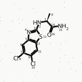 C[C@H](Nc1nc2cc(Cl)c(Cl)cc2s1)C(N)=O